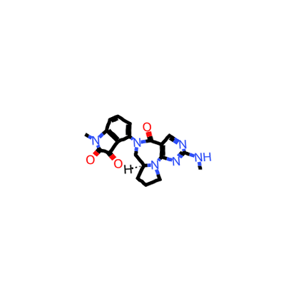 CNc1ncc2c(n1)N1CCC[C@H]1CN(c1cccc3c1C(=O)C(=O)N3C)C2=O